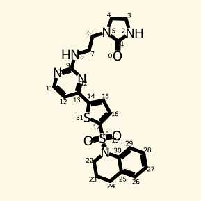 O=C1NCCN1CCNc1nccc(-c2ccc(S(=O)(=O)N3CCCc4ccccc43)s2)n1